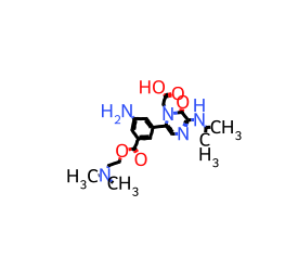 CC(C)Nc1ncc(-c2cc(N)cc(C(=O)OCCN(C)C)c2)n(CC(=O)O)c1=O